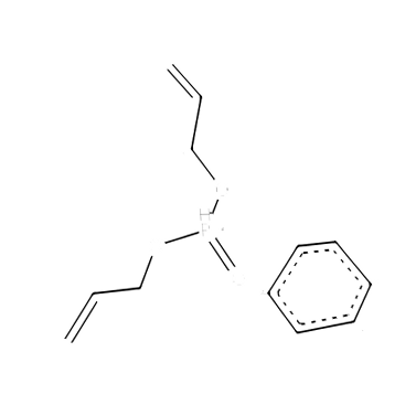 C=CCO[PH](=O)OCC=C.c1ccccc1